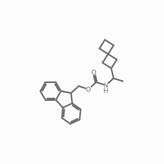 CC(NC(=O)OCC1c2ccccc2-c2ccccc21)C1CC2(CCC2)C1